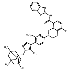 Cc1c(-c2ccc(N3CCc4c(F)ccc(C(=O)Nc5nc6ccccc6s5)c4C3)nc2C(=O)O)cnn1CC12CC3(C)CC(C)(CC(O)(C3)C1)C2